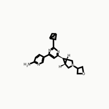 Nc1ccc(-c2cc([C@H]3[C@@H]4CN(C5COC5)C[C@@H]43)nc(N3CC4CC3C4)n2)cn1